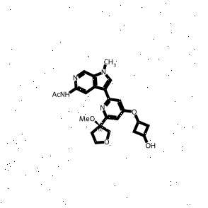 CO[C@]1(c2cc(OC3CC(O)C3)cc(-c3cn(C)c4cnc(NC(C)=O)cc34)n2)CCOC1